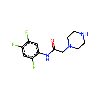 O=C(CN1CCNCC1)Nc1cc(F)c(F)cc1F